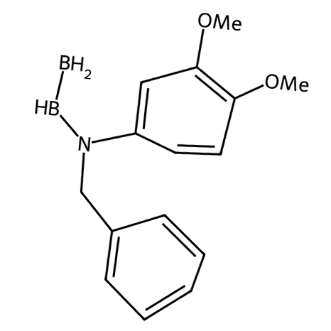 BBN(Cc1ccccc1)c1ccc(OC)c(OC)c1